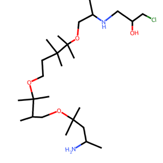 CC(N)CC(C)(C)OCC(C)C(C)(C)OCCC(C)(C)C(C)(C)OCC(C)NCC(O)CCl